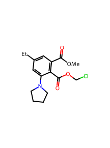 CCc1cc(C(=O)OC)c(C(=O)OCCl)c(N2CCCC2)c1